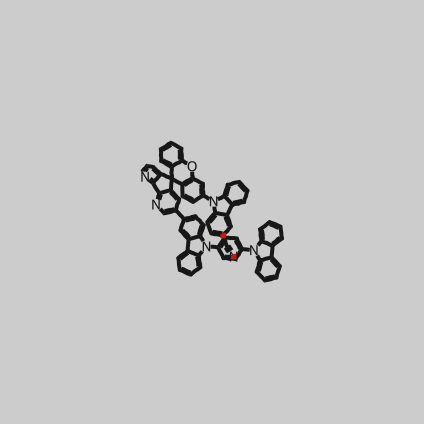 N#Cc1ccc2c(c1)c1ccccc1n2-c1ccc2c(c1)Oc1ccccc1C21c2cccnc2-c2ncc(-c3ccc4c(c3)c3ccccc3n4-c3ccc(-n4c5ccccc5c5ccccc54)cc3)cc21